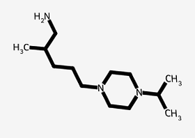 CC(CN)CCCN1CCN(C(C)C)CC1